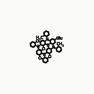 Cc1ccccc1N1c2cc3c(cc2B2c4c1cc(C(C)(C)C)cc4N(c1ccccc1C)c1cc4c5c(c12)Oc1ccccc1B5c1ccccc1O4)B1c2ccccc2Oc2cccc(c21)O3